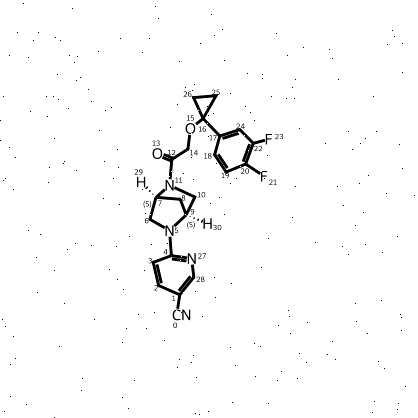 N#Cc1ccc(N2C[C@@H]3C[C@H]2CN3C(=O)COC2(c3ccc(F)c(F)c3)CC2)nc1